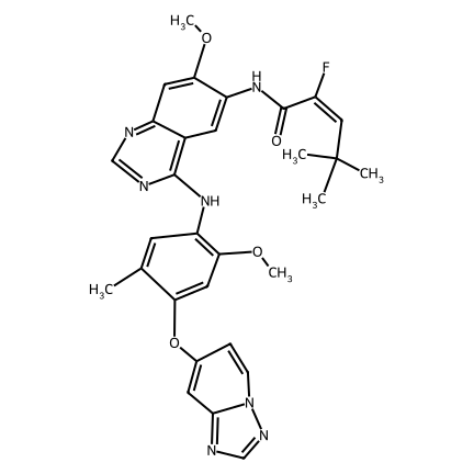 COc1cc2ncnc(Nc3cc(C)c(Oc4ccn5ncnc5c4)cc3OC)c2cc1NC(=O)/C(F)=C\C(C)(C)C